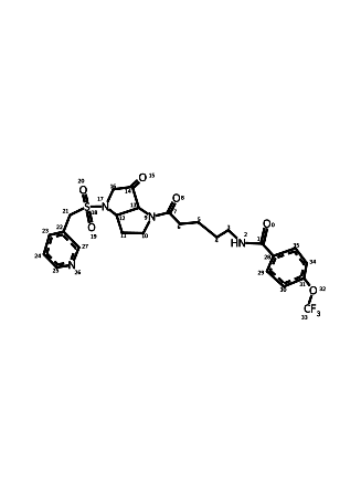 O=C(NCCCCC(=O)N1CCC2C1C(=O)CN2S(=O)(=O)Cc1cccnc1)c1ccc(OC(F)(F)F)cc1